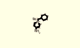 Nc1cc[n+](CC2CCCCC2)cc1.[Br-]